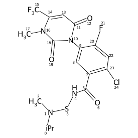 CC(C)N(C)SNC(=O)c1cc(-n2c(=O)cc(C(F)(F)F)n(C)c2=O)c(F)cc1Cl